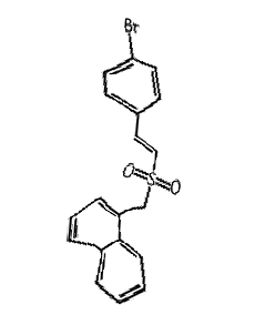 O=S(=O)(C=Cc1ccc(Br)cc1)Cc1cccc2ccccc12